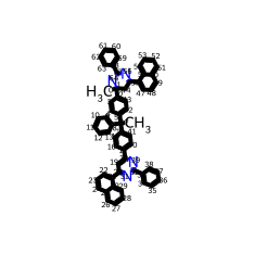 CC1(c2ccc(C(C)(c3ccccc3)c3ccc(-c4cc(-c5cccc6ccccc56)nc(-c5ccccc5)n4)cc3)cc2)CC(c2cccc3ccccc23)=NC(c2ccccc2)=N1